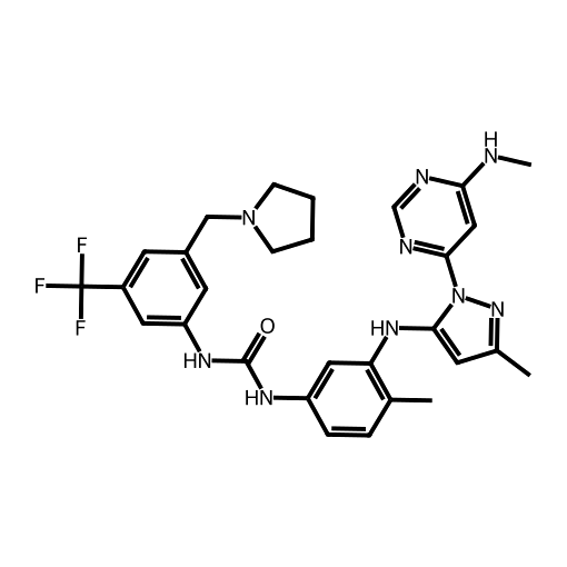 CNc1cc(-n2nc(C)cc2Nc2cc(NC(=O)Nc3cc(CN4CCCC4)cc(C(F)(F)F)c3)ccc2C)ncn1